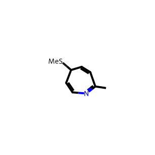 CSC1C=CN=C(C)C=C1